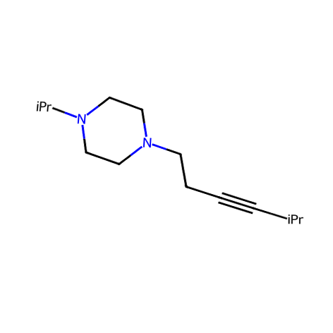 CC(C)C#CCCN1CCN(C(C)C)CC1